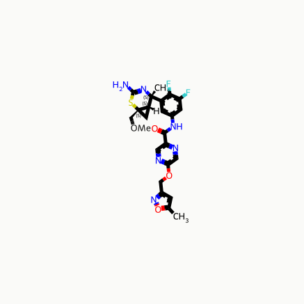 COC[C@]12C[C@H]1[C@@](C)(c1cc(NC(=O)c3cnc(OCc4cc(C)on4)cn3)cc(F)c1F)N=C(N)S2